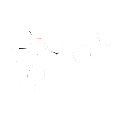 COc1c([C@@H]2[C@@H](C)[C@@H](C(F)(F)F)O[C@H]2C(=O)Nc2ccnc(C(N)=O)c2)ccc(F)c1F